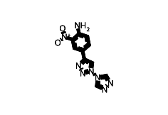 Nc1ccc(-c2cn(-n3cnnc3)nn2)cc1[N+](=O)[O-]